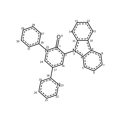 O=c1c(-n2c3ccccc3c3ccccc32)cc(-c2ccccn2)cn1-c1ccccc1